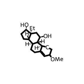 CC[C@]12C[C@@H](O)[C@H]3[C@@H](CCC4=CC(OC)CC[C@@H]43)[C@@H]1CC[C@@H]2O